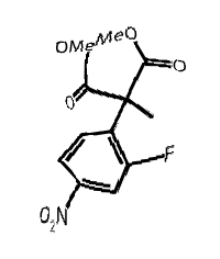 COC(=O)C(C)(C(=O)OC)c1ccc([N+](=O)[O-])cc1F